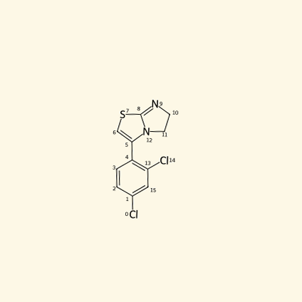 Clc1ccc(C2=CSC3=NCCN23)c(Cl)c1